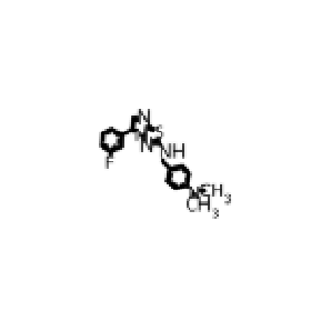 CN(C)c1ccc(CNc2nn3c(-c4cccc(F)c4)cnc3s2)cc1